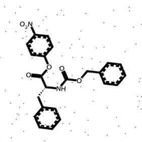 O=C(N[C@H](Cc1ccccc1)C(=O)Oc1ccc([N+](=O)[O-])cc1)OCc1ccccc1